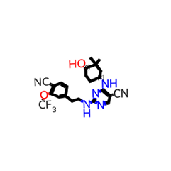 CC1(C)C[C@H](Nc2nc(NCCc3ccc(C#N)c(OC(F)(F)F)c3)ncc2C#N)CC[C@@H]1O